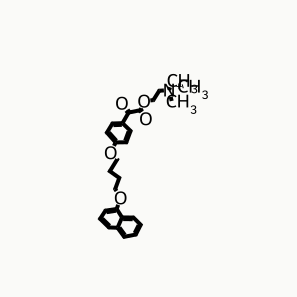 C[N+](C)(C)CCOC(=O)C(=O)c1ccc(OCCCCOc2cccc3ccccc23)cc1